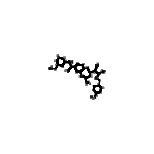 CCCN(OCc1ccc(N)cc1)C(=O)C1=Cc2ccc(C(=O)Nc3cncc(CO)c3)cc2N=C(N)C1